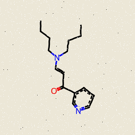 CCCCN(/C=C/C(=O)c1cccnc1)CCCC